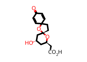 O=C1C=CC2(C=C1)CC[C@@]1(C[C@@H](O)C[C@H](CC(=O)O)O1)O2